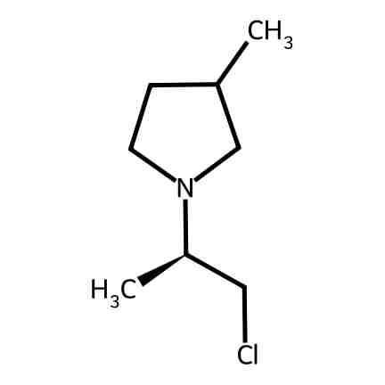 CC1CCN([C@H](C)CCl)C1